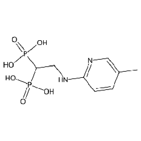 Cc1ccc(NCC(P(=O)(O)O)P(=O)(O)O)nc1